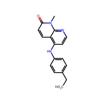 Cn1c(=O)ccc2c(Nc3ccc(CC(=O)O)cc3)ccnc21